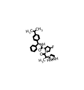 CC(C)c1ccc([C@@H](NC(=O)[C@@H]2C[C@@H](F)CN2C(=O)C(C)N2C=CNN2)c2ccccc2)cc1